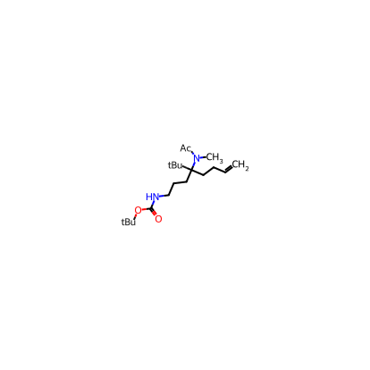 C=CCCC(CCCNC(=O)OC(C)(C)C)(N(C)C(C)=O)C(C)(C)C